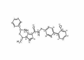 CC1CC(c2ccccc2)Nc2c(C(=O)NCc3ccc(-c4ccccc4Cl)cc3)cnn21